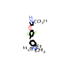 CC[C@]1(N(C)C)CC[C@H](Cc2cc(F)cc(O[C@@H]3CN[C@H](C(=O)O)C3)c2F)CC1